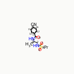 CC(CNS(=O)(=O)C(C)C)NC(=O)c1ccc(C#N)cc1